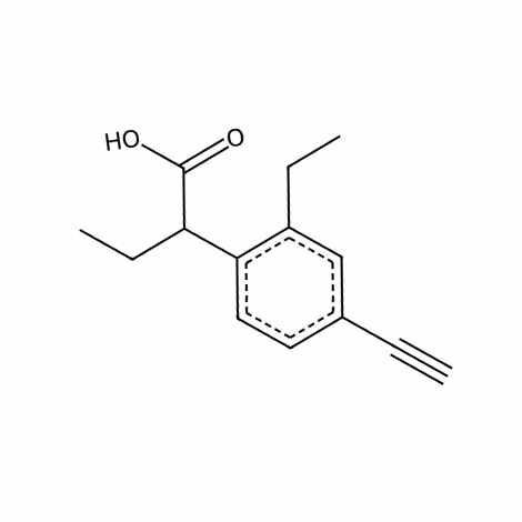 C#Cc1ccc(C(CC)C(=O)O)c(CC)c1